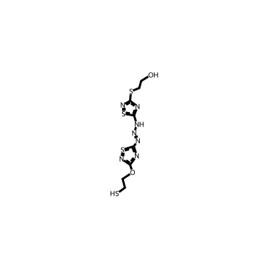 OCCSc1nsc(NN=Nc2nc(OCCS)ns2)n1